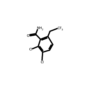 NC(=O)c1c([CH]C(F)(F)F)ccc(Cl)c1Cl